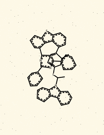 CC1CC(SC(C)n2c3ccccc3c3ccccc32)=CC=C1c1cccc2sc3cccc(-c4nc(-c5ccccc5)nc(-c5ccccc5)n4)c3c12